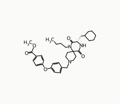 CCCCN1C(=O)[C@H](CC2CCCCC2)NC(=O)C12CCN(Cc1ccc(Oc3ccc(C(=O)OC)cc3)cc1)CC2